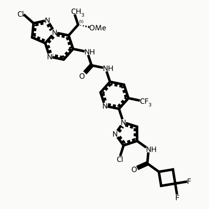 CO[C@@H](C)c1c(NC(=O)Nc2cnc(-n3cc(NC(=O)C4CC(F)(F)C4)c(Cl)n3)c(C(F)(F)F)c2)cnc2cc(Cl)nn12